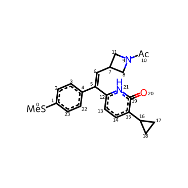 CSc1ccc(/C(=C/C2CN(C(C)=O)C2)c2ccc(C3CC3)c(=O)[nH]2)cc1